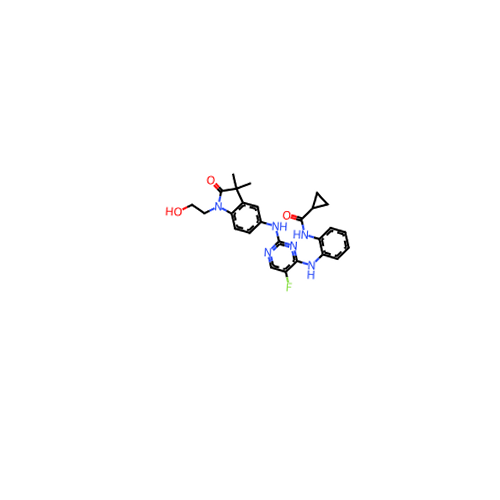 CC1(C)C(=O)N(CCO)c2ccc(Nc3ncc(F)c(Nc4ccccc4NC(=O)C4CC4)n3)cc21